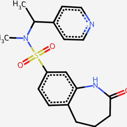 CC(c1ccncc1)N(C)S(=O)(=O)c1ccc2c(c1)NC(=O)CCC2